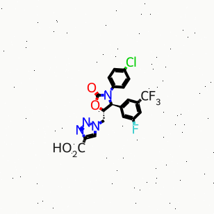 O=C(O)c1cn(C[C@@H]2OC(=O)N(c3ccc(Cl)cc3)[C@H]2c2cc(F)cc(C(F)(F)F)c2)nn1